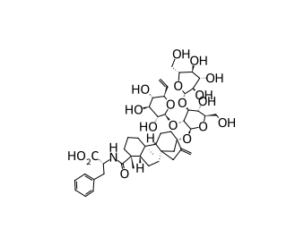 C=C[C@H]1O[C@@H](O[C@H]2[C@H](O[C@]34CC[C@@H]5[C@](CC[C@H]6[C@@]5(C)CCC[C@@]6(C)C(=O)N[C@H](Cc5ccccc5)C(=O)O)(CC3=C)C4)O[C@H](CO)[C@@H](O)[C@@H]2O[C@@H]2O[C@H](CO)[C@@H](O)[C@H](O)[C@H]2O)[C@H](O)[C@@H](O)[C@@H]1O